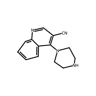 N#Cc1cnc2ccccc2c1N1CCNCC1